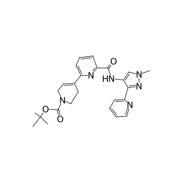 Cn1cc(NC(=O)c2cccc(C3=CCN(C(=O)OC(C)(C)C)CC3)n2)c(-c2ccccn2)n1